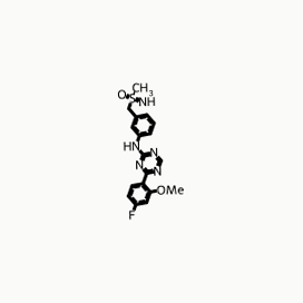 COc1cc(F)ccc1-c1ncnc(Nc2cccc(C[S@](C)(=N)=O)c2)n1